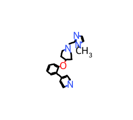 Cn1ccnc1CN1CCC(Oc2ccccc2-c2ccncc2)CC1